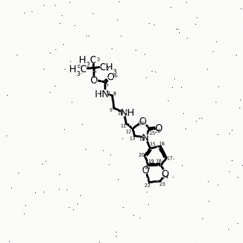 CC(C)(C)OC(=O)NCCNCC1CN(c2ccc3c(c2)OCCO3)C(=O)O1